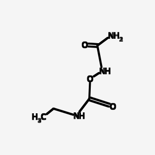 CCNC(=O)ONC(N)=O